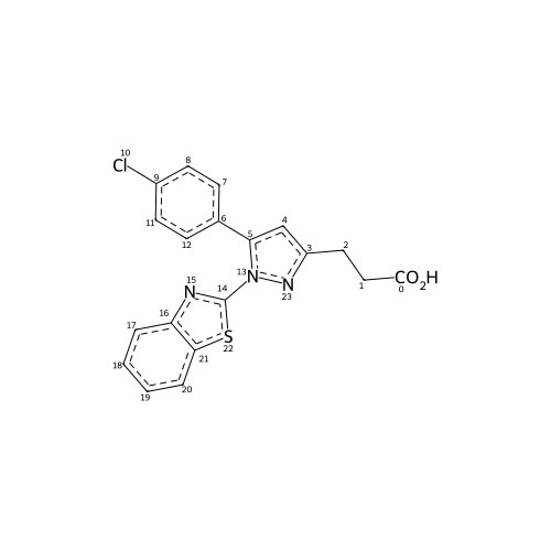 O=C(O)CCc1cc(-c2ccc(Cl)cc2)n(-c2nc3ccccc3s2)n1